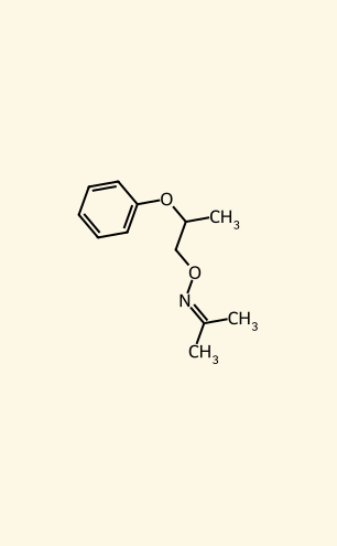 CC(C)=NOCC(C)Oc1ccccc1